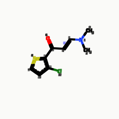 CN(C)/C=C/C(=O)c1sccc1Cl